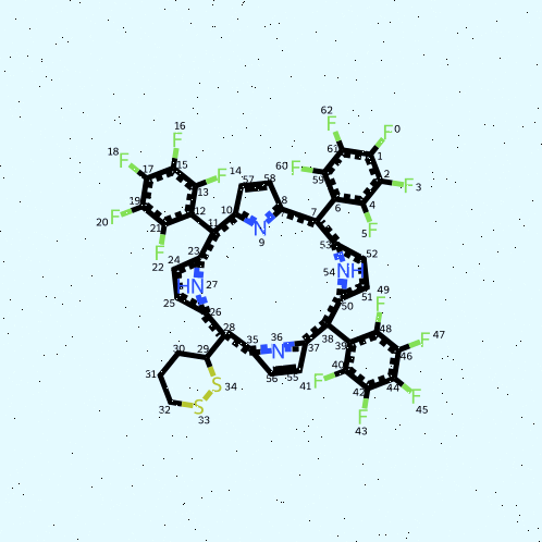 Fc1c(F)c(F)c(-c2c3nc(c(-c4c(F)c(F)c(F)c(F)c4F)c4ccc([nH]4)c(C4CCCSS4)c4nc(c(-c5c(F)c(F)c(F)c(F)c5F)c5ccc2[nH]5)C=C4)C=C3)c(F)c1F